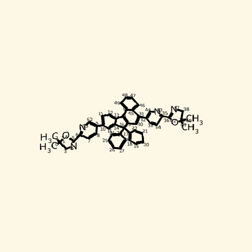 CC1(C)CN=C(c2ccc(-c3ccc4c(c3)C(c3ccccc3)(c3ccccc3)c3cc(-c5ccc(C6=NCC(C)(C)O6)nc5)c5ccccc5c3-4)cn2)O1